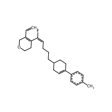 C=CC1=C(/C(F)=C\CCCC2CC=C(c3ccc(C)cc3)CC2)CCOC1